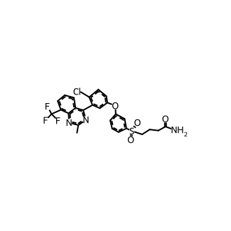 Cc1nc(-c2cc(Oc3cccc(S(=O)(=O)CCCC(N)=O)c3)ccc2Cl)c2cccc(C(F)(F)F)c2n1